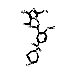 CCOc1ccc(S(=O)(=O)N2CCN(CC)CC2)cc1-c1nn2c(C)nc(C)c2c(=O)[nH]1